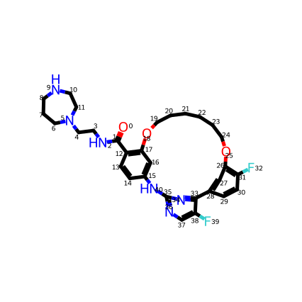 O=C(NCCN1CCCNCC1)c1ccc2cc1OCCCCCCOc1cc(ccc1F)-c1nc(ncc1F)N2